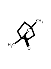 CC12CCC(C)(CC1)C(=O)C2